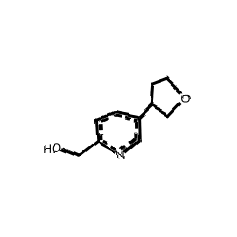 OCc1ccc(C2CCOC2)cn1